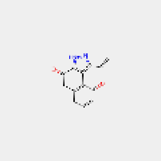 C=Cc1n[nH]c2c1C1=C(CC=CC1=O)CC2=O